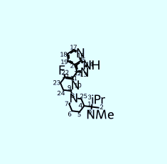 CNC(C)(C(C)C)C1CCCN(C2=NC(c3n[nH]c4ncccc34)=C(F)CC2)C1